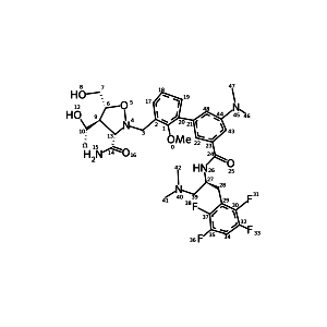 COc1c(CN2O[C@@H](CO)[C@H]([C@H](C)O)[C@H]2C(N)=O)cccc1-c1cc(C(=O)N[C@@H](Cc2c(F)c(F)cc(F)c2F)CN(C)C)cc(N(C)C)c1